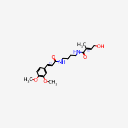 COc1ccc(/C=C/C(=O)NCCCCNC(=O)/C(C)=C/CO)cc1OC